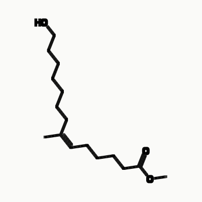 COC(=O)CCCCC=C(C)CCCCCCCO